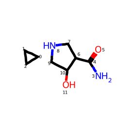 C1CC1.NC(=O)C1CNCC1O